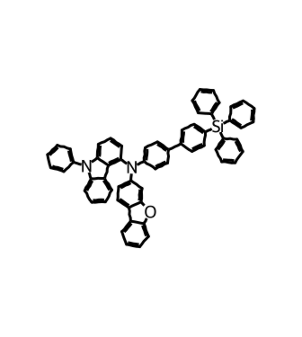 c1ccc(-n2c3ccccc3c3c(N(c4ccc(-c5ccc([Si](c6ccccc6)(c6ccccc6)c6ccccc6)cc5)cc4)c4ccc5c(c4)oc4ccccc45)cccc32)cc1